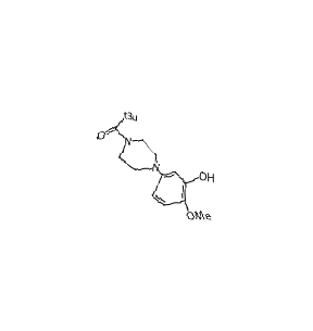 COc1ccc(N2CCN(C(=O)C(C)(C)C)CC2)cc1O